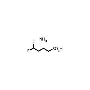 N.O=S(=O)(O)CCCC(F)F